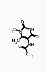 CC(=O)Nc1c(N)n(C)c(=O)[nH]c1=O